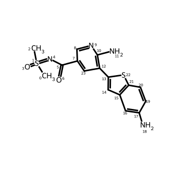 CS(C)(=O)=NC(=O)c1cnc(N)c(-c2cc3cc(N)ccc3s2)c1